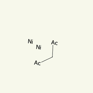 CC(=O)CC(C)=O.[Ni].[Ni]